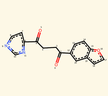 O=C(CCC(=O)c1ccncn1)c1ccc2occc2c1